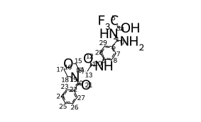 NC(NC(O)C(F)(F)F)c1ccc(NC(=O)C[C@H]2COCCN2C(=O)c2ccccc2)cc1